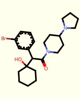 O=C(C(c1cccc(Br)c1)C1(O)CCCCC1)N1CCC(N2CCCC2)CC1